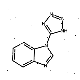 c1ccc2c(c1)ncn2-c1nnn[nH]1